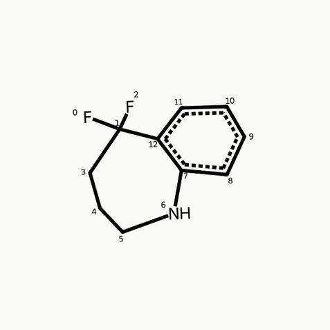 FC1(F)CCCNc2ccccc21